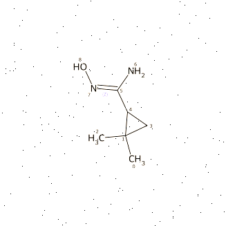 CC1(C)CC1/C(N)=N/O